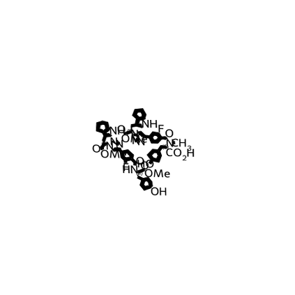 COC(=O)[C@@H](Cc1c[nH]c2ccccc12)n1cc(-c2ccc(C(=O)N(C)[C@@H](Cc3ccc(O)cc3)C(=O)O)c(F)c2)nn1.COC(=O)[C@H](Cc1ccc(O)cc1)NC(=O)c1ccc(-c2cn([C@H](Cc3c[nH]c4ccccc34)C(=O)OC)nn2)cc1F